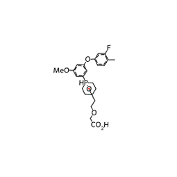 COc1cc(Oc2ccc(C)c(F)c2)cc([PH]23CCC(CCOCC(=O)O)(CC2)CO3)c1